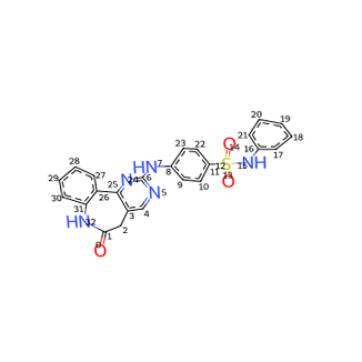 O=C1Cc2cnc(Nc3ccc(S(=O)(=O)Nc4ccccc4)cc3)nc2-c2ccccc2N1